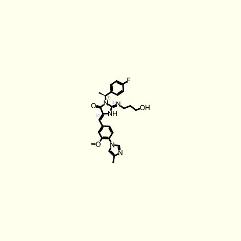 COc1cc(/C=C2\N/C(=N\CCCO)N([C@@H](C)c3ccc(F)cc3)C2=O)ccc1-n1cnc(C)c1